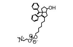 C=C(c1ccccc1)C12CCC(O)C1CC(CCCCCCOP(=O)([O-])OCC[N+](C)(C)C)=C2c1ccccc1